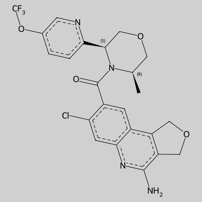 C[C@@H]1COC[C@H](c2ccc(OC(F)(F)F)cn2)N1C(=O)c1cc2c3c(c(N)nc2cc1Cl)COC3